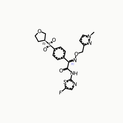 Cn1ccc(CO/N=C(/C(=O)Nc2ncc(F)s2)c2ccc(S(=O)(=O)[C@H]3CCOC3)cc2)n1